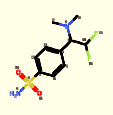 CN(C)C(c1ccc(S(N)(=O)=O)cc1)C(F)F